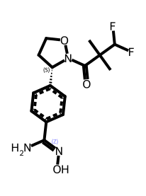 CC(C)(C(=O)N1OCC[C@H]1c1ccc(/C(N)=N/O)cc1)C(F)F